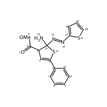 COC(=O)C1C=C(c2ccccc2)SC1(N)N=Nc1cccs1